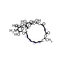 CC1C/C=C/C=C/C=C/C=C/C(OC2O[C@H](C)C(O)[C@H](N)[C@@H]2O)C[C@@H]2OC(O)(CC(O)CC3OC3/C=C/C(=O)O1)C[C@H](O)C2C(=O)O